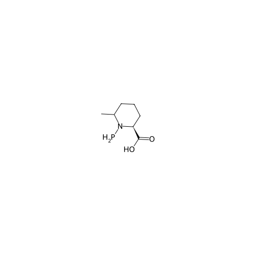 CC1CCC[C@@H](C(=O)O)N1P